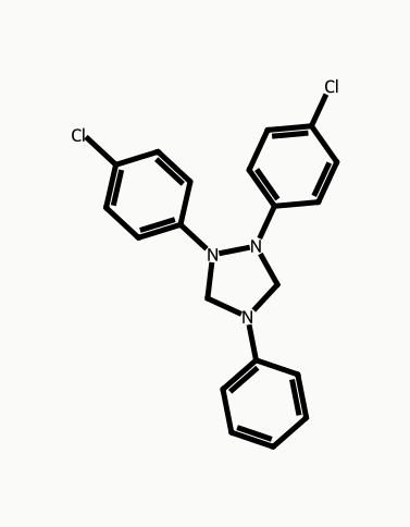 Clc1ccc(N2CN(c3ccccc3)CN2c2ccc(Cl)cc2)cc1